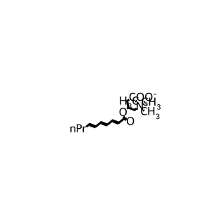 CCCC=CC=CC=CC(=O)OC(CC(=O)[O-])C[N+](C)(C)C